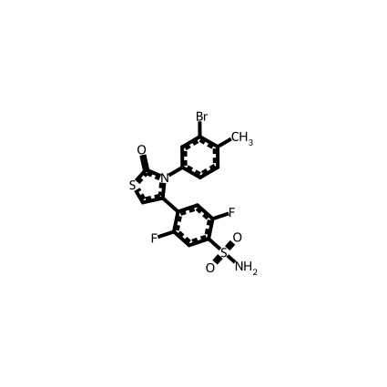 Cc1ccc(-n2c(-c3cc(F)c(S(N)(=O)=O)cc3F)csc2=O)cc1Br